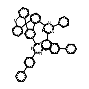 c1ccc(-c2ccc(-c3nc(-c4ccc(-c5ccccc5)cc4)nc(-c4ccc5c(c4)-c4c(-c6nc(-c7ccccc7)nc(-c7ccccc7)n6)cccc4C54c5ccccc5Oc5ccccc54)n3)cc2)cc1